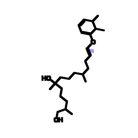 CC(CO)CCCC(C)(O)CCCC(C)CC/C=C/OC1=CC=CC(C)C1C